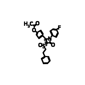 CC(=O)Oc1ccc([C@@H]2[C@H]([S+]([O-])CCc3ccccc3)C(=O)N2c2ccc(F)cc2)cc1